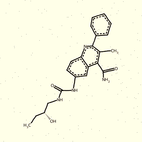 CC[C@@H](O)CNC(=O)Nc1ccc2nc(-c3ccccc3)c(C)c(C(N)=O)c2c1